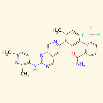 Cc1ccc(Nc2ncc3cc(-c4cc(-c5c(C(N)=O)cccc5C(F)(F)F)ccc4C)ncc3n2)c(C)n1